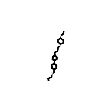 C=CCOCc1ccc(-c2ccc(CCCC[C@H]3CC[C@H](C=CC)CC3)cc2)cc1